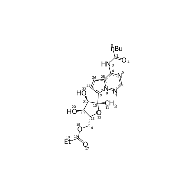 CCCCC(=O)Nc1ncnn2c([C@]3(C)O[C@H](COC(=O)CC)[C@@H](O)[C@H]3O)ccc12